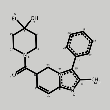 CCC1(O)CCN(C(=O)C2C=Cc3nc(C)c(-c4ccccc4)n3C2)CC1